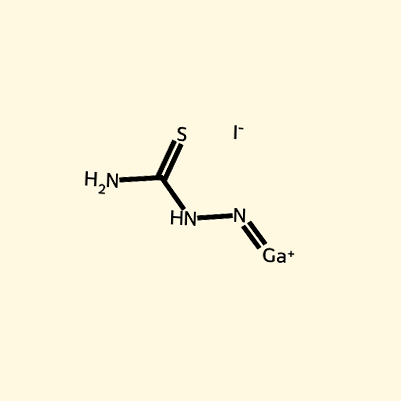 NC(=S)N[N]=[Ga+].[I-]